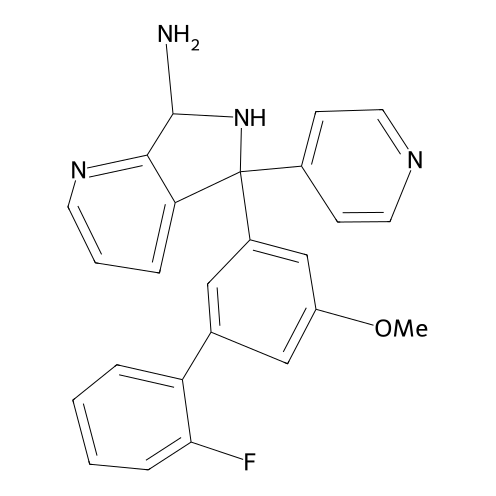 COc1cc(-c2ccccc2F)cc(C2(c3ccncc3)NC(N)c3ncccc32)c1